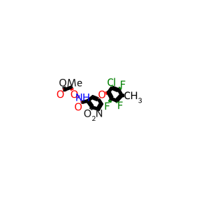 COC(=O)CONC(=O)c1cc(Oc2c(F)c(F)c(C)c(F)c2Cl)ccc1[N+](=O)[O-]